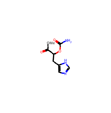 COC(=O)C(Cc1cnc[nH]1)OC(N)=O